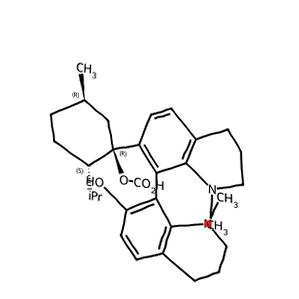 CC(C)[C@@H]1CC[C@@H](C)C[C@]1(OC(=O)O)c1ccc2c(c1-c1c(O)ccc3c1N(C)CCC3)N(C)CCC2